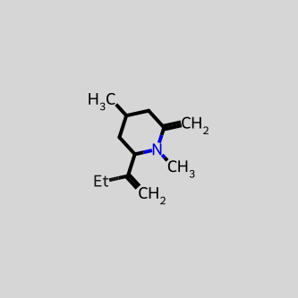 C=C(CC)C1CC(C)CC(=C)N1C